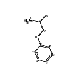 CC([AsH2])CCc1ccccc1